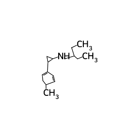 CCC(CC)CNC1CC1C1=CCC(C)C=C1